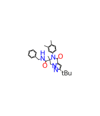 Cc1ccc(N2C(=O)c3cc(C(C)(C)C)nn3CC2(C)C(=O)NCc2ccccc2)cc1C